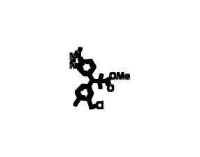 COC(=O)C(C)(C)C(c1ccc(C)c(CCl)c1)c1ccc2c(c1)nnn2C